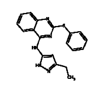 CCc1cc(Nc2nc(Sc3ccccc3)nc3ccccc23)[nH]n1